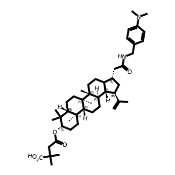 C=C(C)[C@@H]1C[C@@H](CC(=O)NCc2ccc(N(C)C)cc2)C2CC[C@]3(C)[C@H](CC[C@@H]4[C@@]5(C)CC[C@H](OC(=O)CC(C)(C)C(=O)O)C(C)(C)[C@@H]5CC[C@]43C)[C@H]21